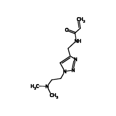 C=CC(=O)NCc1cn(CCN(C)C)nn1